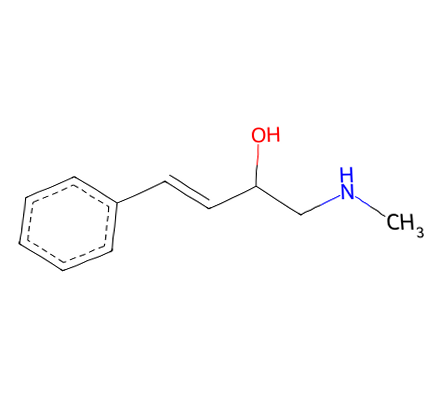 CNCC(O)C=Cc1ccccc1